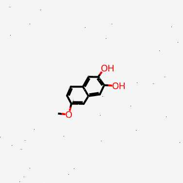 COc1ccc2cc(O)c(O)cc2c1